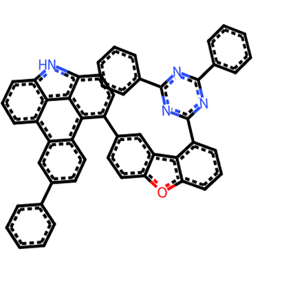 c1ccc(-c2ccc3c(c2)c2cccc4[nH]c5ccc(-c6ccc7oc8cccc(-c9nc(-c%10ccccc%10)nc(-c%10ccccc%10)n9)c8c7c6)c3c5c42)cc1